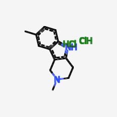 Cc1ccc2[nH]c3c(c2c1)CN(C)CC3.Cl.Cl